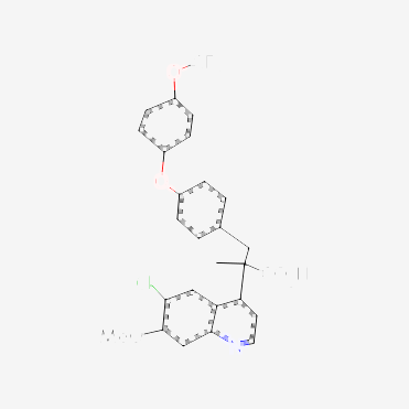 COc1cc2nccc(C(C)(Cc3ccc(Oc4ccc(OC(F)(F)F)cc4)cc3)C(=O)O)c2cc1Cl